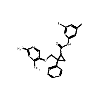 Cc1ncc(OCC2(c3ccccc3)CC2C(=O)Nc2cc(F)cc(F)n2)c(C)n1